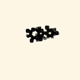 CC1C(=O)OC[C@H]2O[C@@H](n3ccc(=O)[nH]c3=O)[C@@](C)(O)[C@@H]2OC1=O